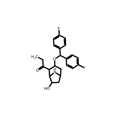 CCC(=O)C1C(OC(c2ccc(F)cc2)c2ccc(F)cc2)CC2CC(O)C1N2